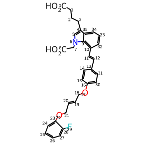 O=C(O)CCCc1cn(CC(=O)O)c2c(C=Cc3ccc(OCC=CCOc4ccccc4F)cc3)cccc12